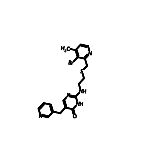 Cc1ccnc(CSCCNc2ncc(Cc3cccnc3)c(=O)[nH]2)c1Br